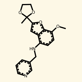 COc1ccc(NCc2cccnc2)c2cc(C3(C)OCCO3)oc12